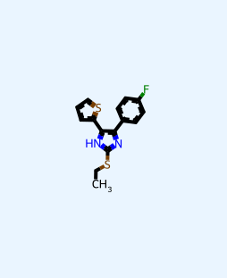 CCSc1nc(-c2ccc(F)cc2)c(-c2cccs2)[nH]1